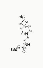 CCC1CC2(CCN(CCNC(=O)OC(C)(C)C)CC2)C1